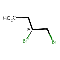 O=C(O)C[C@@H](Br)CBr